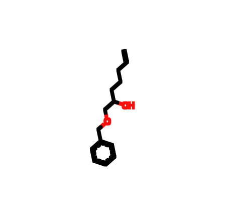 C=CCCCC(O)COCc1ccccc1